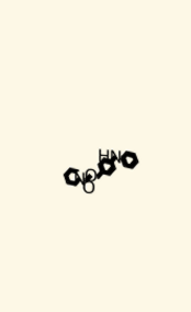 O=C(OCc1ccc(Nc2ccccc2)cc1)N1CCCCC1